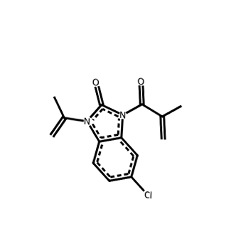 C=C(C)C(=O)n1c(=O)n(C(=C)C)c2ccc(Cl)cc21